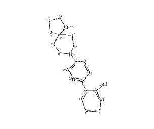 Clc1ccccc1-c1ccc(N2CCC3(CC2)OCCO3)nn1